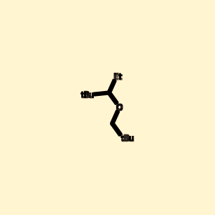 CCC(OCC(C)(C)C)C(C)(C)C